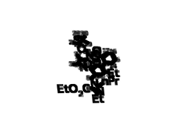 CCCc1nc(CC)c(C(=O)OCC)n1Cc1ccc(-c2ccccc2S(=O)(=O)N(COC(C)[Si](C)(C)C)c2onc(C)c2C)c(CC)c1